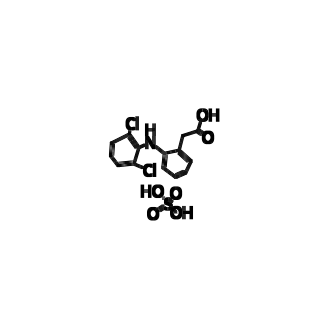 O=C(O)Cc1ccccc1Nc1c(Cl)cccc1Cl.O=S(=O)(O)O